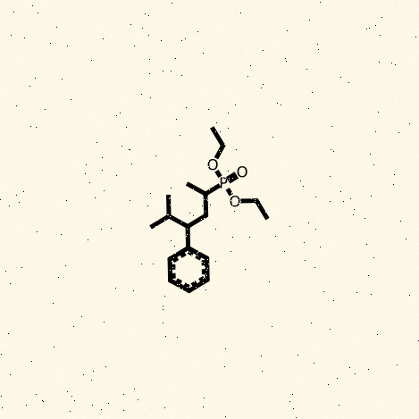 CCOP(=O)(OCC)C(C)CC(c1ccccc1)C(C)C